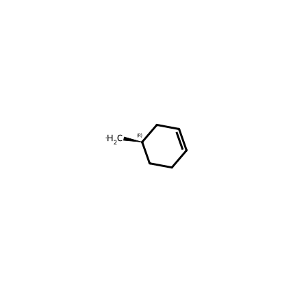 [CH2][C@H]1CC=CCC1